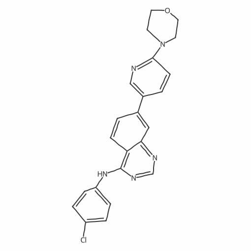 Clc1ccc(Nc2ncnc3cc(-c4ccc(N5CCOCC5)nc4)ccc23)cc1